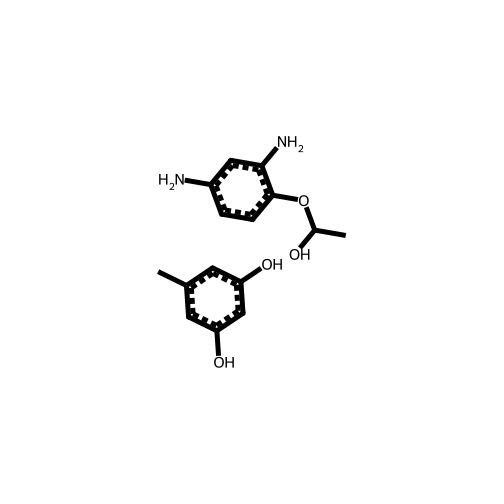 CC(O)Oc1ccc(N)cc1N.Cc1cc(O)cc(O)c1